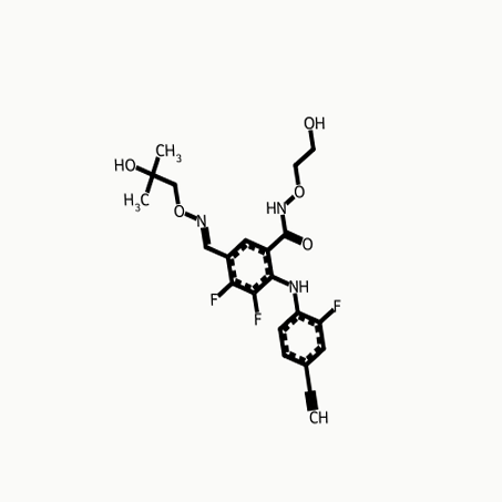 C#Cc1ccc(Nc2c(C(=O)NOCCO)cc(C=NOCC(C)(C)O)c(F)c2F)c(F)c1